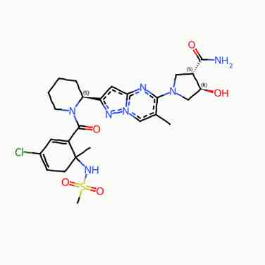 Cc1cn2nc([C@@H]3CCCCN3C(=O)C3=CC(Cl)=CCC3(C)NS(C)(=O)=O)cc2nc1N1C[C@H](C(N)=O)[C@@H](O)C1